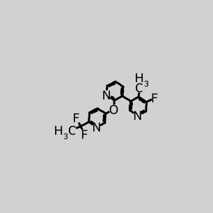 Cc1c(F)cncc1-c1cccnc1Oc1ccc(C(C)(F)F)nc1